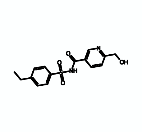 CCc1ccc(S(=O)(=O)NC(=O)c2ccc(CO)nc2)cc1